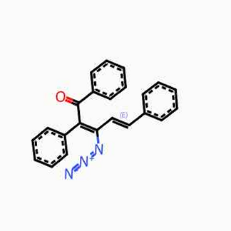 [N-]=[N+]=NC(/C=C/c1ccccc1)=C(C(=O)c1ccccc1)c1ccccc1